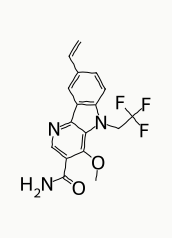 C=Cc1ccc2c(c1)c1ncc(C(N)=O)c(OC)c1n2CC(F)(F)F